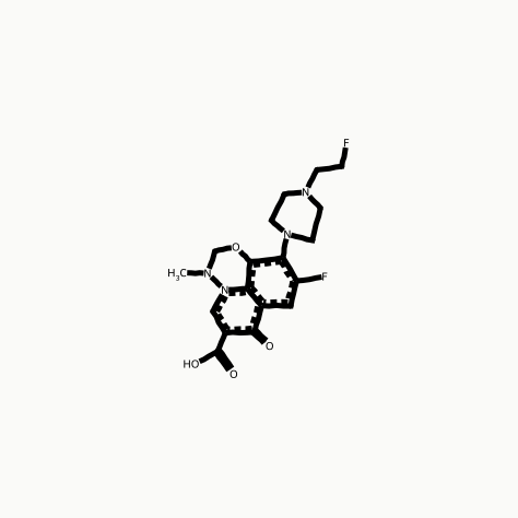 CN1COc2c(N3CCN(CCF)CC3)c(F)cc3c(=O)c(C(=O)O)cn1c23